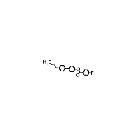 CCCCc1ccc(-c2ccc(OC(=O)c3ccc(F)cc3)cc2)cc1